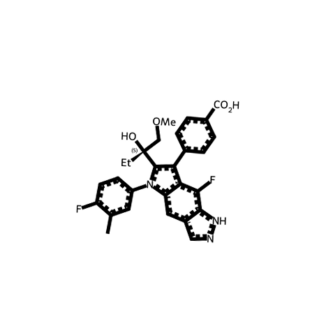 CC[C@@](O)(COC)c1c(-c2ccc(C(=O)O)cc2)c2c(F)c3[nH]ncc3cc2n1-c1ccc(F)c(C)c1